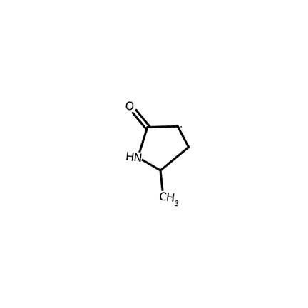 CC1C[CH]C(=O)N1